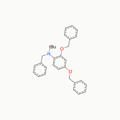 CC(C)(C)N(Cc1ccccc1)c1[c]cc(OCc2ccccc2)cc1OCc1ccccc1